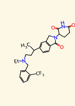 CCN(CCC(C)c1ccc2c(c1)CN(C1CCC(=O)NC1=O)C2=O)Cc1ccccc1C(F)(F)F